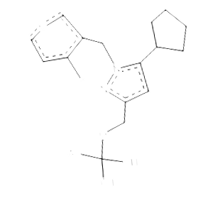 CC(=O)C(C)(C)OCc1cc(C2CCCC2)n(Cc2ccccc2Cl)n1